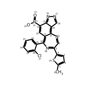 Cc1ccc(-c2cnc3c(cc([N+](=O)[O-])c4nncc43)c(-c3ccccc3Cl)n2)s1